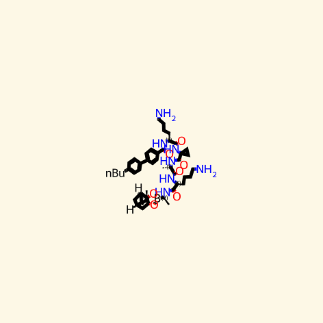 CCCCc1ccc(-c2ccc(C(=O)N[C@@H](CCCCN)C(=O)NC3(C(=O)N[C@@H](C)C(=O)N[C@@H](CCCCN)C(=O)N[C@@H](C)B4OC5C[C@@H]6C[C@@H](C6(C)C)[C@]5(C)O4)CC3)cc2)cc1